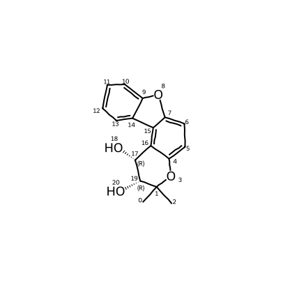 CC1(C)Oc2ccc3oc4ccccc4c3c2[C@@H](O)[C@H]1O